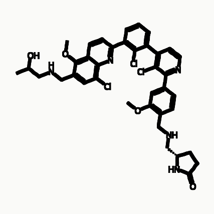 COc1cc(-c2nccc(-c3cccc(-c4ccc5c(OC)c(CNCC(C)O)cc(Cl)c5n4)c3Cl)c2Cl)ccc1CNC[C@@H]1CCC(=O)N1